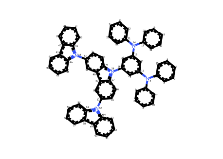 c1ccc(N(c2ccccc2)c2cc(N(c3ccccc3)c3ccccc3)cc(-n3c4ccc(-n5c6ccccc6c6ccccc65)cc4c4cc(-n5c6ccccc6c6ccccc65)ccc43)c2)cc1